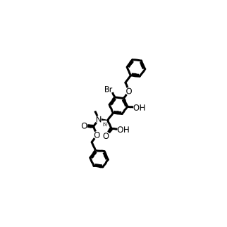 CN(C(=O)OCc1ccccc1)[C@H](C(=O)O)c1cc(O)c(OCc2ccccc2)c(Br)c1